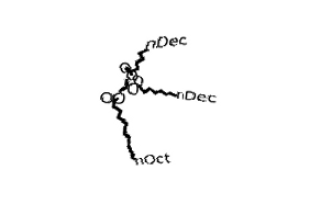 CCCCCCCCC=CCCCCCCCC(=O)OCC(COC(=O)CCCCCCCCCCCCCCC)OC(=O)CCCCCCCCCCCCCCCCC